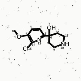 COc1ccc(C2(O)CCNCC2)nc1Cl